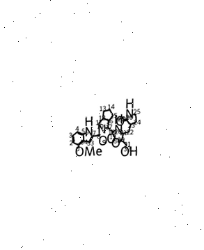 COc1cccc2[nH]c(C(=O)N3CC4CCCC4C3C(=O)NC(CC3CCNC3=O)C(=O)CO)cc12